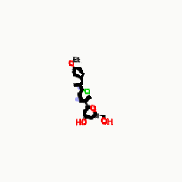 C=C(/C=C\C(Cl)=C(/C)Cc1ccc(OCC)cc1)[C@H]1C[C@@H](O)C[C@@H](CO)O1